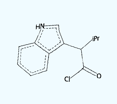 CC(C)C(C(=O)Cl)c1c[nH]c2ccccc12